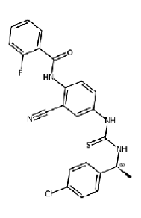 C[C@H](NC(=S)Nc1ccc(NC(=O)c2ccccc2F)c(C#N)c1)c1ccc(Cl)cc1